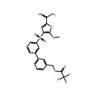 CSc1sc(C(=N)N)cc1S(=O)(=O)c1cccc(-c2cccc(COC(=O)C(F)(F)F)c2)c1